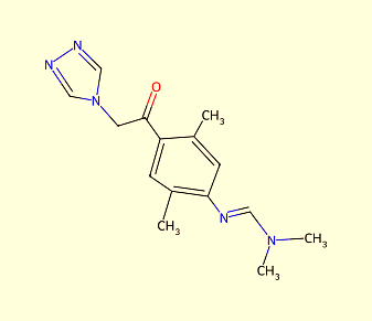 Cc1cc(C(=O)Cn2cnnc2)c(C)cc1N=CN(C)C